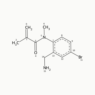 C=C(C)C(=O)N(C)c1ccc(Br)cc1CN